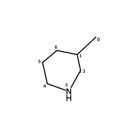 CC1[CH]NCCC1